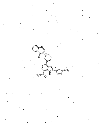 Cn1cc(-c2cc3c(N4CCC[C@@H](n5cnc6ccccc6c5=O)C4)ccc(C(N)=O)c3[nH]2)cn1